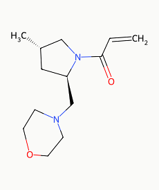 C=CC(=O)N1C[C@@H](C)C[C@@H]1CN1CCOCC1